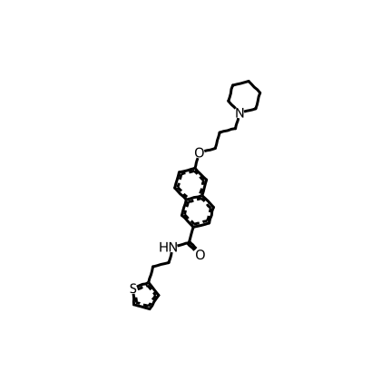 O=C(NCCc1cccs1)c1ccc2cc(OCCCN3CCCCC3)ccc2c1